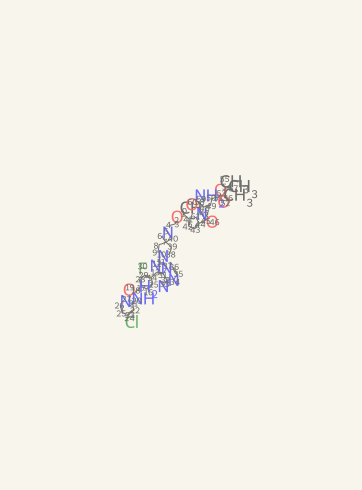 C[C@@H](OCCN1CC2(CCN(c3nc(-c4ccc(C(=O)Nc5cc(Cl)ccn5)cc4F)c4c(N)nccn34)CC2)C1)C1=CC=C2C(=O)N(C(CCC(=O)OC(C)(C)C)C(N)=O)C21